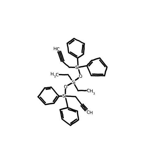 C#CC[Si](O[Si](CC)(CC)O[Si](CC#C)(c1ccccc1)c1ccccc1)(c1ccccc1)c1ccccc1